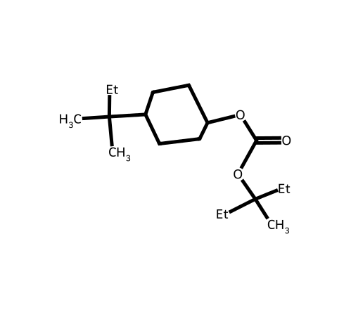 CCC(C)(CC)OC(=O)OC1CCC(C(C)(C)CC)CC1